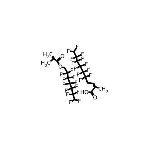 C=C(C)C(=O)OCC(F)(F)C(F)(F)C(F)(F)C(F)(F)C(F)(F)C(F)F.CC(=CCC(F)(F)C(F)(F)C(F)(F)C(F)(F)C(F)(F)C(F)F)C(=O)O